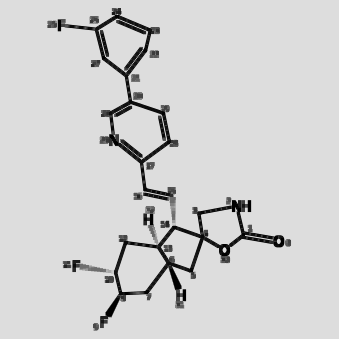 O=C1NCC2(C[C@@H]3C[C@@H](F)[C@H](F)C[C@H]3[C@@H]2C=Cc2ccc(-c3cccc(F)c3)cn2)O1